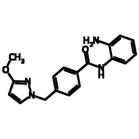 COc1ccn(Cc2ccc(C(=O)Nc3ccccc3N)cc2)n1